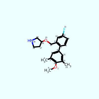 COc1c(C)cc(-c2ccc(F)cc2COC2CCNC2)cc1C